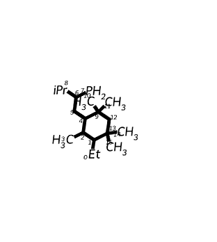 CCC1C(C)C(CC(P)C(C)C)C(C)(C)CC1(C)C